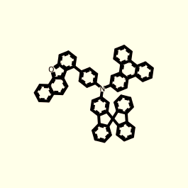 c1ccc2c(c1)-c1ccccc1C21c2ccccc2-c2ccc(N(c3ccc(-c4cccc5oc6c7ccccc7ccc6c45)cc3)c3ccc4c5ccccc5c5ccccc5c4c3)cc21